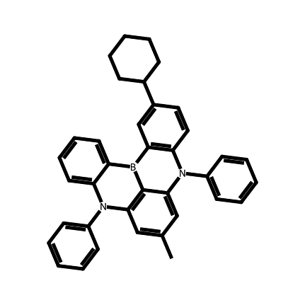 Cc1cc2c3c(c1)N(c1ccccc1)c1ccc(C4CCCCC4)cc1B3c1ccccc1N2c1ccccc1